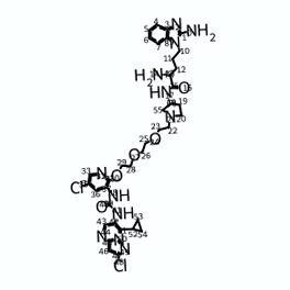 Nc1nc2ccccc2n1CCC[C@H](N)C(=O)N[C@@H]1CCN(CCOCCOCCOc2ncc(Cl)cc2NC(=O)Nc2cnc3cc(Cl)nn3c2C2CC2)C1